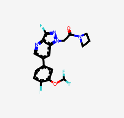 O=C(Cn1nc(F)c2ncc(-c3ccc(F)c(OC(F)F)c3)cc21)N1CCC1